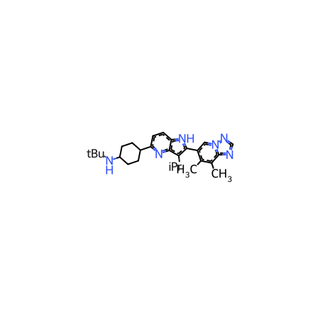 Cc1c(-c2[nH]c3ccc(C4CCC(NC(C)(C)C)CC4)nc3c2C(C)C)cn2ncnc2c1C